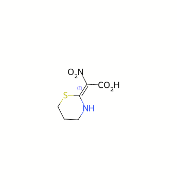 O=C(O)/C(=C1\NCCCS1)[N+](=O)[O-]